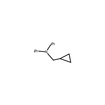 CC(C)N(CC1CC1)C(C)C